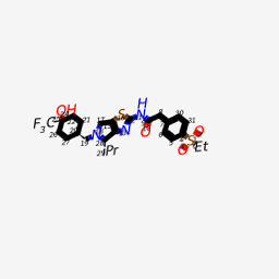 CCS(=O)(=O)c1ccc(CC(=O)Nc2nc3c(s2)CN(C[C@H]2CC[C@@](O)(C(F)(F)F)CC2)[C@H]3C(C)C)cc1